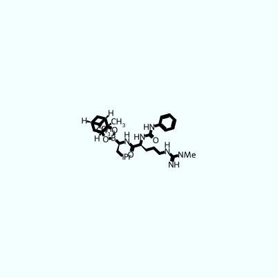 CNC(=N)NCCC[C@H](NC(=O)Nc1ccccc1)C(=O)N[C@@H](CC(C)C)B1O[C@@H]2C[C@@H]3C[C@@H](C3(C)C)[C@]2(C)O1